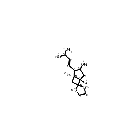 CC(O)C=CC1C(O)C[C@H]2[C@H]1CC21OCCO1